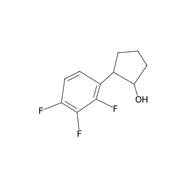 OC1CCCC1c1ccc(F)c(F)c1F